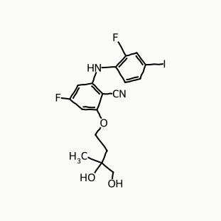 CC(O)(CO)CCOc1cc(F)cc(Nc2ccc(I)cc2F)c1C#N